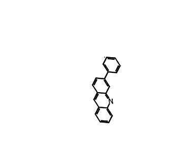 [c]1cccc(-c2ccc3cc4ccccc4nc3c2)c1